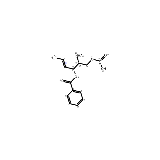 C/C=C/[C@@H](OC(=O)c1ccccc1)[C@H](CO[PH](=O)O)NC(C)=O